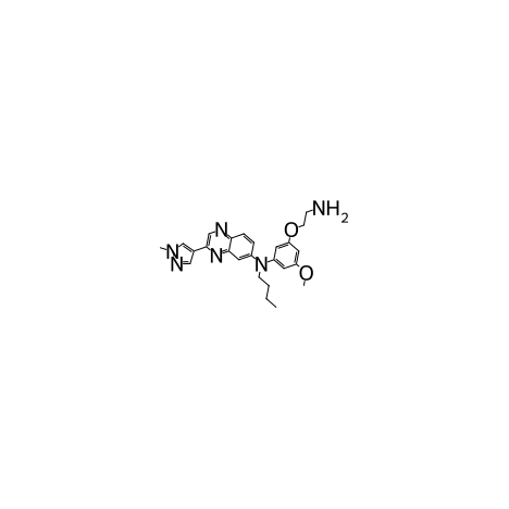 CCCCN(c1cc(OC)cc(OCCN)c1)c1ccc2ncc(-c3cnn(C)c3)nc2c1